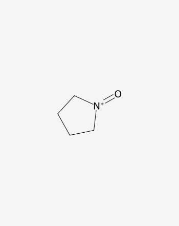 O=[N+]1CCCC1